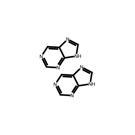 c1ncc2nc[nH]c2n1.c1ncc2nc[nH]c2n1